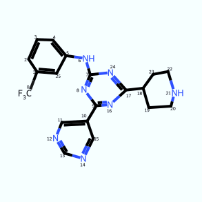 FC(F)(F)c1cccc(Nc2nc(-c3cncnc3)nc(C3CCNCC3)n2)c1